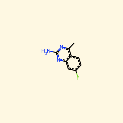 Cc1nc(N)nc2cc(F)ccc12